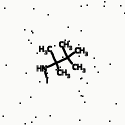 CC(C)(C)C(C)(C)NI